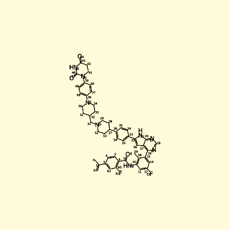 C=C(C)c1ccc(C(=O)Nc2cc(F)cc(-c3ncnc4[nH]c(-c5ccc(C6CCN(CC7CCN(c8ccc(N9CCC(=O)NC9=O)cc8)CC7)CC6)cc5)cc34)c2C)c(F)c1